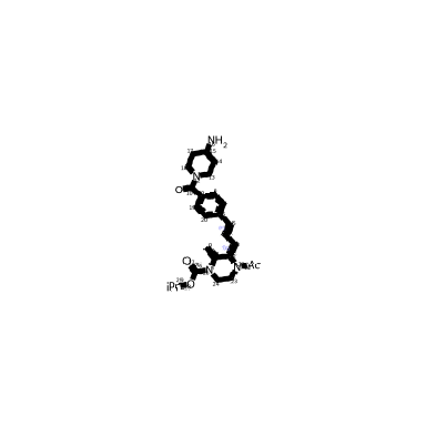 C=C1/C(=C\C=C\c2ccc(C(=O)N3CCC(N)CC3)cc2)N(C(C)=O)CCN1C(=O)OC(C)C